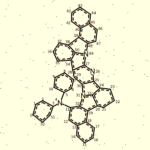 c1ccc(N(c2ccccc2)c2cc3ccccc3c3c4cccc5c6nc7c(cc6n(c23)c54)c2cccc3c4c5ccccc5ccc4n7c23)cc1